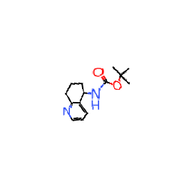 CC(C)(C)OC(=O)NC1CCCc2ncccc21